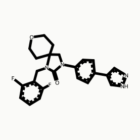 O=C1N(c2ccc(-c3cn[nH]c3)cc2)CC2(CCOCC2)N1Cc1c(F)cccc1F